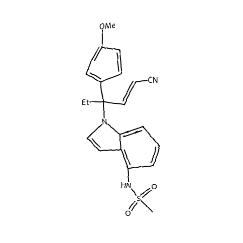 CCC(C=CC#N)(c1ccc(OC)cc1)n1ccc2c(NS(C)(=O)=O)cccc21